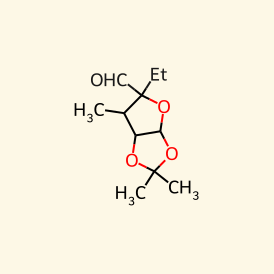 CCC1(C=O)OC2OC(C)(C)OC2C1C